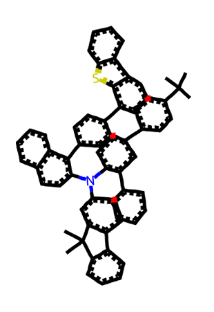 CC(C)(C)c1ccc(-c2ccc(N(c3ccc4c(c3)C(C)(C)c3ccccc3-4)c3ccc4ccccc4c3-c3ccc(-c4cccc5c4sc4ccccc45)cc3)c(-c3ccccc3)c2)cc1